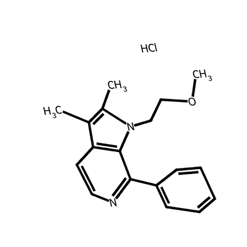 COCCn1c(C)c(C)c2ccnc(-c3ccccc3)c21.Cl